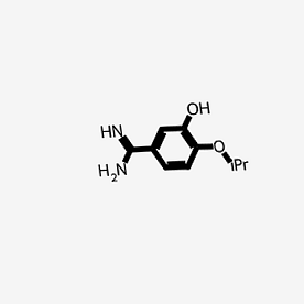 CC(C)Oc1ccc(C(=N)N)cc1O